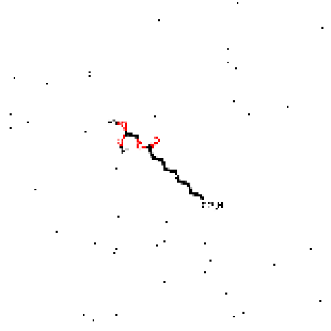 CCOC(COC(=O)CCCCCCCCC(=O)O)OCC